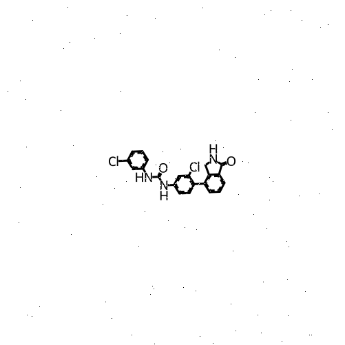 O=C(Nc1cccc(Cl)c1)Nc1ccc(-c2cccc3c2CNC3=O)c(Cl)c1